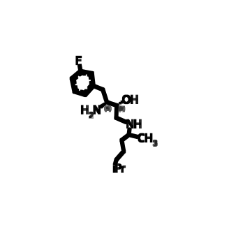 CC(C)CCCC(C)NC[C@@H](O)[C@@H](N)Cc1cccc(F)c1